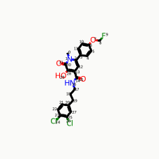 Cn1c(-c2ccc(OCF)cc2)cc(C(=O)NCCCc2ccc(Cl)c(Cl)c2)c(O)c1=O